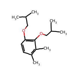 Cc1ccc(OCC(C)C)c(OCC(C)C)c1C